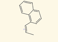 C/C=C\c1[c]ccc2ccccc12